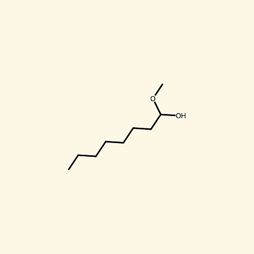 CCCCCCCC(O)OC